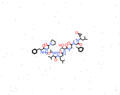 CC(C)CC(CC(=O)N[C@H](C(=O)N(C)[C@@H](C)C(=O)N(C)[C@@H](Cc1ccccc1)C(=O)N(C)C(CC(C)C)[C@@H]1CC1=O)[C@@H](C)O)NC(=O)[C@H](NC(=O)C[C@H](NC(=O)[C@@H](N)Cc1ccccc1)C(=O)N1CCCCC1)C(C)C